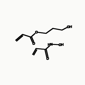 C=CC(=O)NO.C=CC(=O)OCCCO